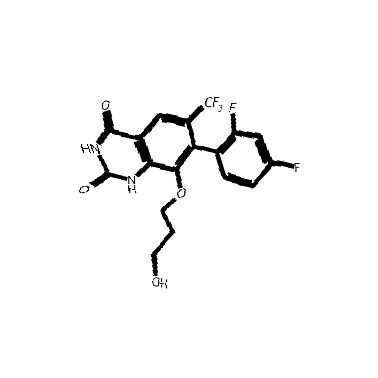 O=c1[nH]c(=O)c2cc(C(F)(F)F)c(-c3ccc(F)cc3F)c(OCCCO)c2[nH]1